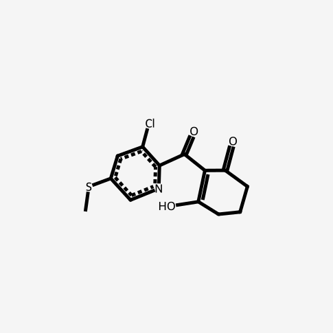 CSc1cnc(C(=O)C2=C(O)CCCC2=O)c(Cl)c1